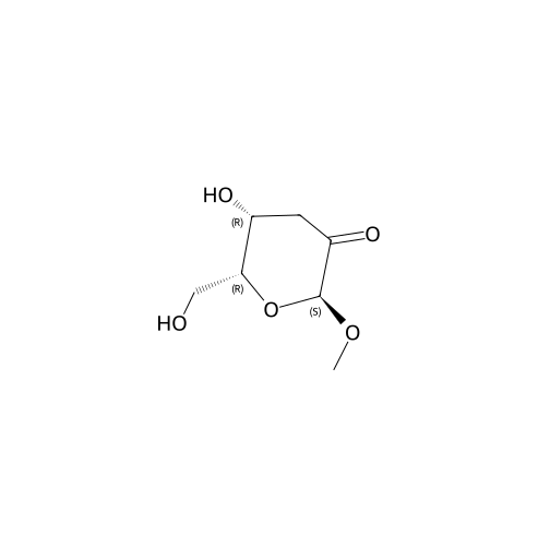 CO[C@H]1O[C@H](CO)[C@H](O)CC1=O